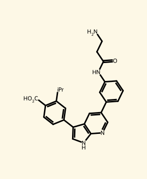 CC(C)c1cc(-c2c[nH]c3ncc(-c4cccc(NC(=O)CCN)c4)cc23)ccc1C(=O)O